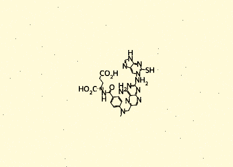 CN(Cc1cnc2nc(N)nc(N)c2n1)c1ccc(C(=O)N[C@@H](CCC(=O)O)C(=O)O)cc1.Sc1ncc2nc[nH]c2n1